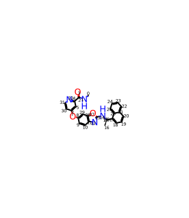 CNC(=O)c1cc(Oc2ccc3nc(N[C@H](C)c4cccc5ccccc45)oc3c2)ccn1